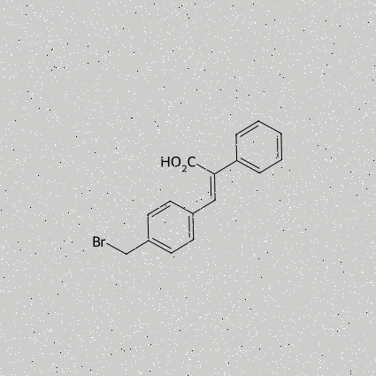 O=C(O)/C(=C\c1ccc(CBr)cc1)c1ccccc1